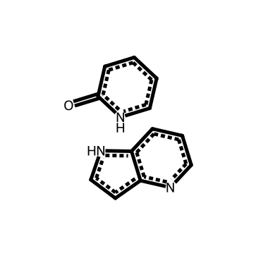 O=c1cccc[nH]1.c1cnc2cc[nH]c2c1